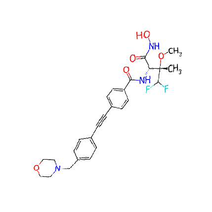 CO[C@](C)(C(F)F)[C@H](NC(=O)c1ccc(C#Cc2ccc(CN3CCOCC3)cc2)cc1)C(=O)NO